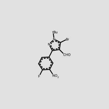 CC(C)(C)n1nc(-c2ccc(F)c([N+](=O)[O-])c2)c(C=O)c1Br